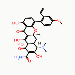 C=Cc1cc(OC)ccc1-c1ccc(O)c2c1O[C@H]1C[C@H]3[C@H](N(C)C)C(O)=C(C(N)=O)C(=O)[C@@]3(O)C(O)=C1C2=O